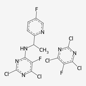 CC(Nc1nc(Cl)nc(Cl)c1F)c1ccc(F)cn1.Fc1c(Cl)nc(Cl)nc1Cl